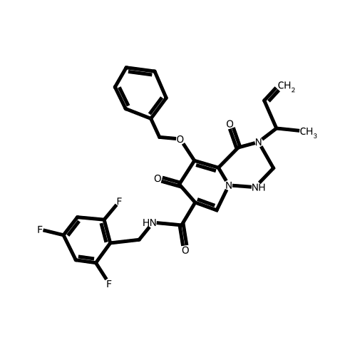 C=CC(C)N1CNn2cc(C(=O)NCc3c(F)cc(F)cc3F)c(=O)c(OCc3ccccc3)c2C1=O